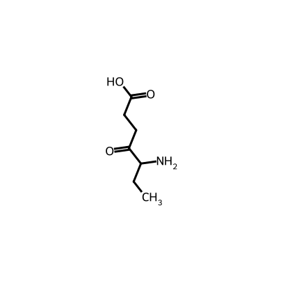 CCC(N)C(=O)CCC(=O)O